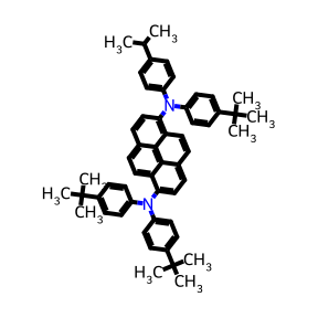 CC(C)c1ccc(N(c2ccc(C(C)(C)C)cc2)c2ccc3ccc4c(N(c5ccc(C(C)(C)C)cc5)c5ccc(C(C)(C)C)cc5)ccc5ccc2c3c54)cc1